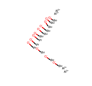 CC(C)[O-].CC(C)[O-].CC(C)[O-].CCC(C)[O-].CCC(C)[O-].CCC(C)[O-].CCC(C)[O-].CCC(C)[O-].CCC(C)[O-].CCC(C)[O-].CCC(C)[O-].CCC(C)[O-].[Al+3].[Al+3].[Al+3].[Al+3]